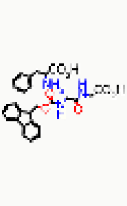 NC(Cc1ccccc1)C(=O)O.O=C(O)CNC(=O)CNC(=O)OCC1c2ccccc2-c2ccccc21